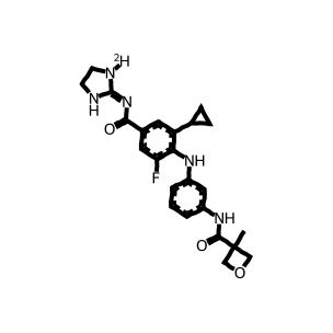 [2H]N1CCNC1=NC(=O)c1cc(F)c(Nc2cccc(NC(=O)C3(C)COC3)c2)c(C2CC2)c1